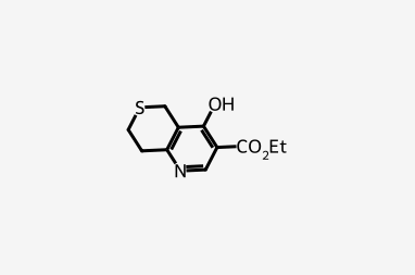 CCOC(=O)c1cnc2c(c1O)CSCC2